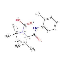 Cc1ccccc1NC(=O)[C@H](C(C)C)N(C(=O)O)C(C)(C)C